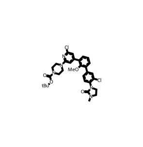 COc1c(-c2cc(Cl)nc(N3CCN(C(=O)OC(C)(C)C)CC3)c2)cccc1-c1ccc(N2CCN(C)C2=O)c(Cl)c1